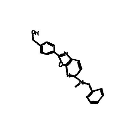 CN(Cc1ccccc1)c1ccc2nc(-c3ccc(CO)cc3)oc2n1